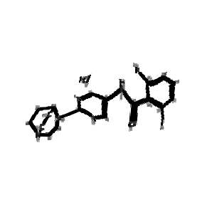 Cl.O=C(Nc1cnc(N2CCN3CCC2CC3)nc1)c1c(F)cccc1F